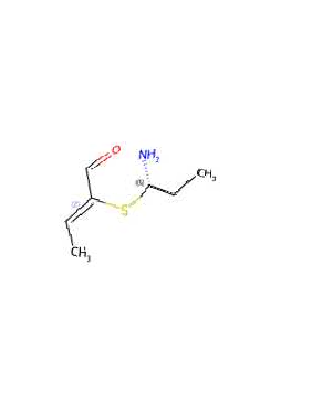 C/C=C(/C=O)S[C@H](N)CC